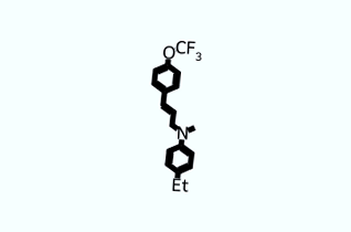 CCc1ccc(N(C)C/C=C/c2ccc(OC(F)(F)F)cc2)cc1